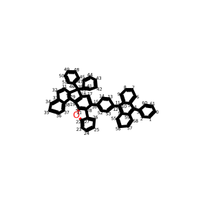 c1ccc(-c2c3ccccc3c(-c3ccc(-c4cc5c(c6oc7ccccc7c46)-c4c(ccc6ccccc46)C5(c4ccccc4)c4ccccc4)cc3)c3ccccc23)cc1